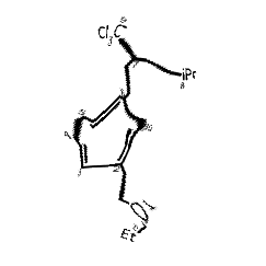 CCOc1cccc(C(C(C)C)C(Cl)(Cl)Cl)c1